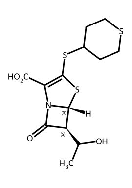 CC(O)[C@H]1C(=O)N2C(C(=O)O)=C(SC3CCSCC3)S[C@H]12